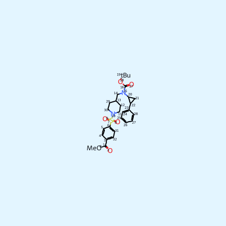 COC(=O)c1ccc(S(=O)(=O)N2CCC(CN(C(=O)OC(C)(C)C)C3CC3c3ccccc3)CC2)cc1